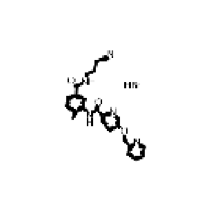 Br.Cc1ccc(C(=O)NCCCC#N)cc1NC(=O)c1ccc(OCc2ccccn2)cn1